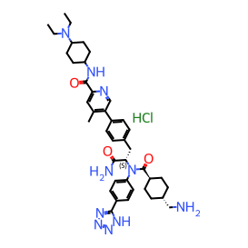 CCN(CC)C1CCC(NC(=O)c2cc(C)c(-c3ccc(C[C@@H](C(N)=O)N(c4ccc(-c5nnn[nH]5)cc4)C(=O)[C@H]4CC[C@H](CN)CC4)cc3)cn2)CC1.Cl